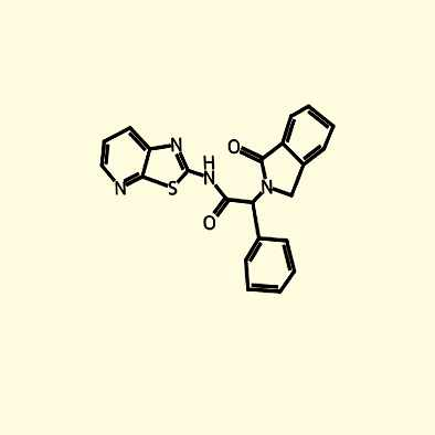 O=C(Nc1nc2cccnc2s1)C(c1ccccc1)N1Cc2ccccc2C1=O